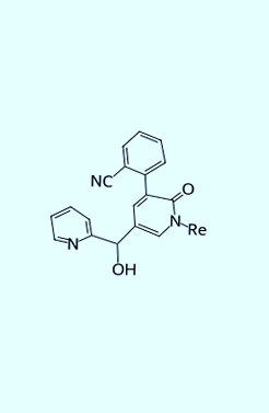 N#Cc1ccccc1-c1cc(C(O)c2ccccn2)c[n]([Re])c1=O